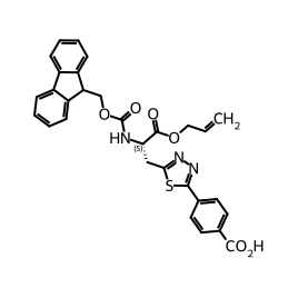 C=CCOC(=O)[C@H](Cc1nnc(-c2ccc(C(=O)O)cc2)s1)NC(=O)OCC1c2ccccc2-c2ccccc21